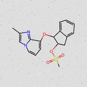 Cc1cn2cccc(OC3c4ccccc4CC3OS(C)(=O)=O)c2n1